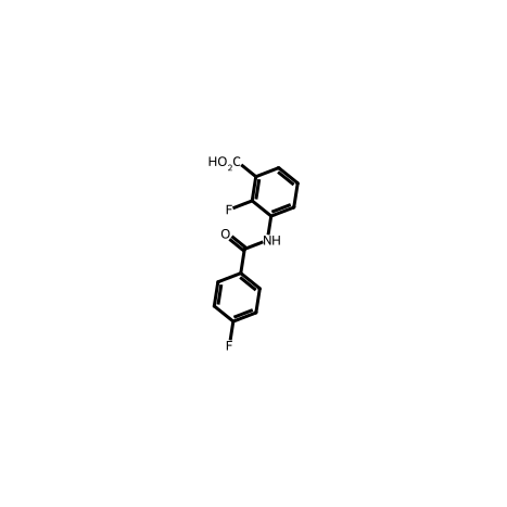 O=C(Nc1cccc(C(=O)O)c1F)c1ccc(F)cc1